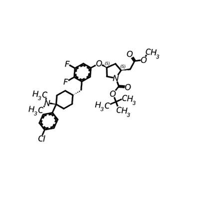 COC(=O)C[C@@H]1C[C@H](Oc2cc(F)c(F)c(C[C@H]3CC[C@](c4ccc(Cl)cc4)(N(C)C)CC3)c2)CN1C(=O)OC(C)(C)C